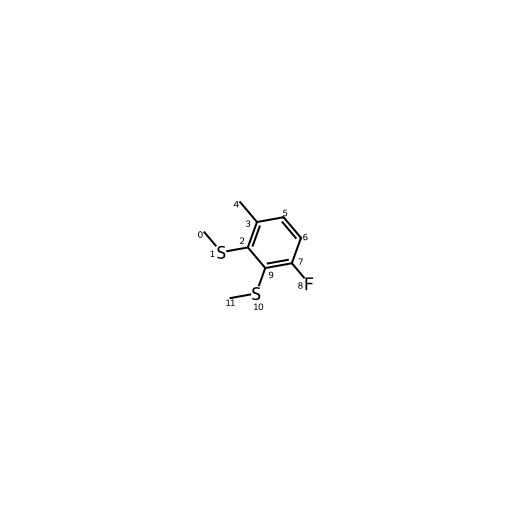 CSc1c(C)ccc(F)c1SC